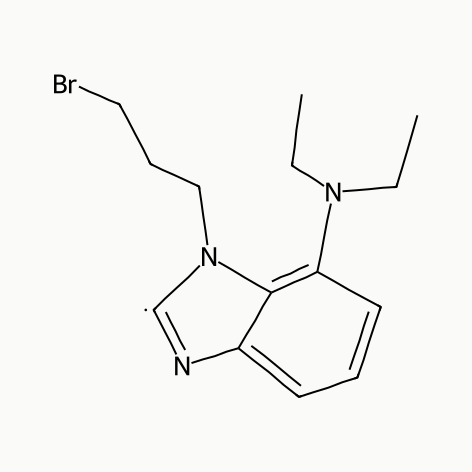 CCN(CC)c1cccc2n[c]n(CCCBr)c12